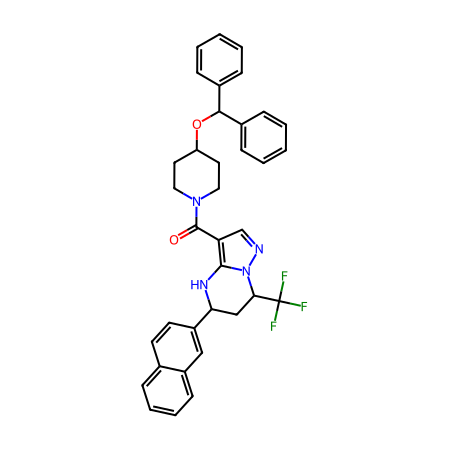 O=C(c1cnn2c1NC(c1ccc3ccccc3c1)CC2C(F)(F)F)N1CCC(OC(c2ccccc2)c2ccccc2)CC1